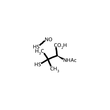 CC(=O)N[C@H](C(=O)O)C(C)(C)S.O=NS